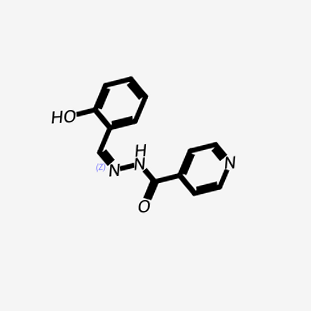 O=C(N/N=C\c1ccccc1O)c1ccncc1